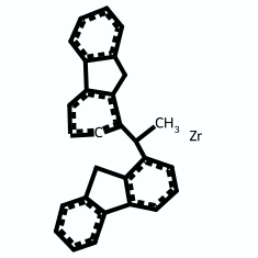 CC(c1cccc2c1Cc1ccccc1-2)c1cccc2c1Cc1ccccc1-2.[Zr]